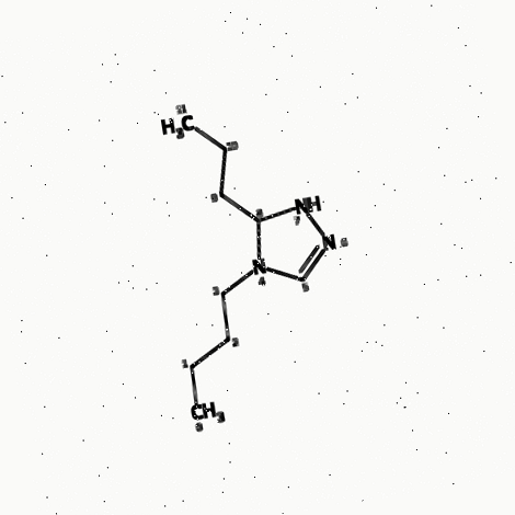 CCCCN1C=NNC1CCC